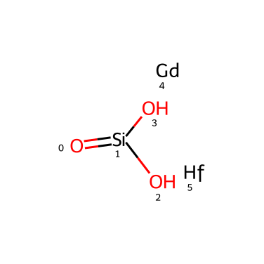 O=[Si](O)O.[Gd].[Hf]